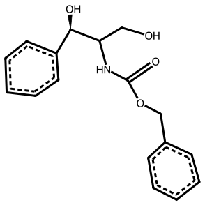 O=C(NC(CO)[C@H](O)c1ccccc1)OCc1ccccc1